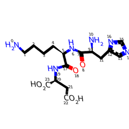 NCCCC[C@@H](NC(=O)[C@@H](N)Cc1c[nH]cn1)C(=O)N[C@@H](CC(=O)O)C(=O)O